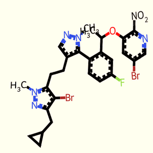 CC(Oc1cc(Br)cnc1[N+](=O)[O-])c1cc(F)ccc1-c1c(CCc2c(Br)c(CC3CC3)nn2C)cnn1C